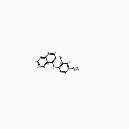 O=[N+]([O-])c1ccc(Oc2ccnc3ccccc23)c(F)c1